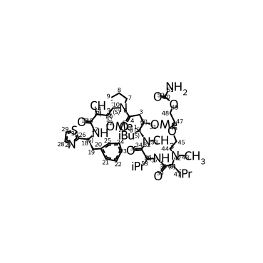 CC[C@H](C)[C@@H]([C@@H](CC(=O)N1CCC[C@H]1[C@H](OC)[C@@H](C)C(=O)N[C@@H](Cc1ccccc1)c1nccs1)OC)N(C)C(=O)[C@@H](NC(=O)[C@H](C(C)C)N(C)CCOCCOC(N)=O)C(C)C